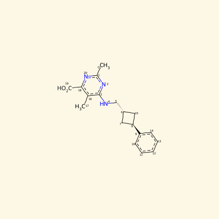 Cc1nc(NC[C@H]2C[C@H](c3ccccc3)C2)c(C)c(C(=O)O)n1